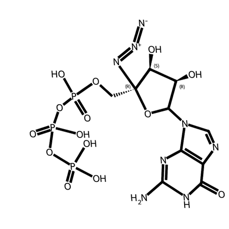 [N-]=[N+]=N[C@]1(COP(=O)(O)OP(=O)(O)OP(=O)(O)O)OC(n2cnc3c(=O)[nH]c(N)nc32)[C@H](O)[C@@H]1O